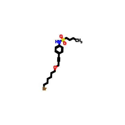 CCCCS(=O)(=O)Nc1ccc(C#CCOCCCCCCBr)cc1